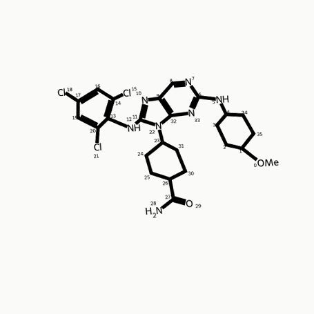 COC1CCC(Nc2ncc3nc(Nc4c(Cl)cc(Cl)cc4Cl)n(C4CCC(C(N)=O)CC4)c3n2)CC1